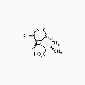 C=C(C)C(C(=O)O)N1C(=O)C(N(C#N)C(C)=O)C1[S+]([O-])Cl